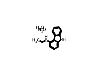 CCBc1cccc2[nH]c3ccccc3c12.O.O